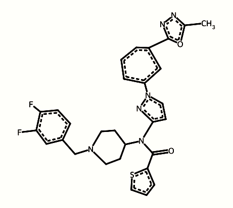 Cc1nnc(-c2cccc(-n3ccc(N(C(=O)c4cccs4)C4CCN(Cc5ccc(F)c(F)c5)CC4)n3)c2)o1